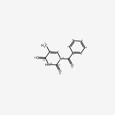 Cc1cn(C(=O)c2ccccc2)c(=O)[nH]c1=O